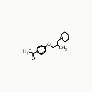 CC(=O)c1ccc(OCC(C)CN2CCCCC2)cc1